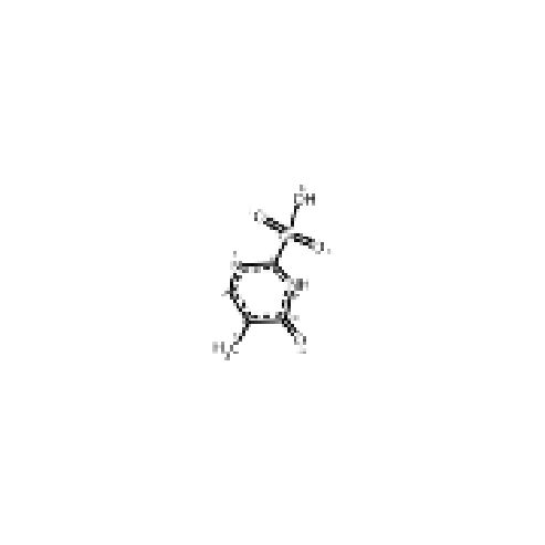 Cc1cnc(S(=O)(=O)O)[nH]c1=O